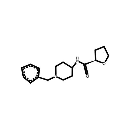 O=C(NC1CCN(Cc2ccccc2)CC1)[C@H]1CCCO1